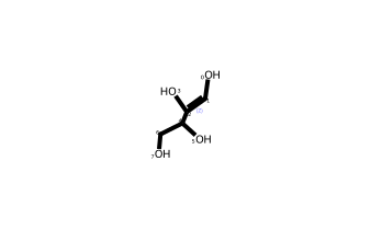 O/C=C(\O)C(O)CO